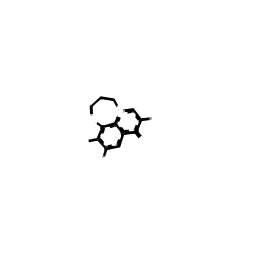 CCOC(=O)c1cn2c3c(c(F)c(F)cc3c1=O)OCCC2